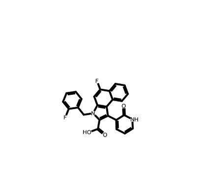 O=C(O)c1c(-c2ccc[nH]c2=O)c2c3ccccc3c(F)cc2n1Cc1ccccc1F